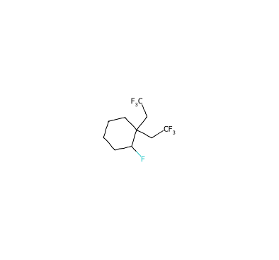 FC1CCCCC1(CC(F)(F)F)CC(F)(F)F